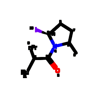 CCCC(C(=O)N1C(C)CC[C@H]1I)C(C)CC